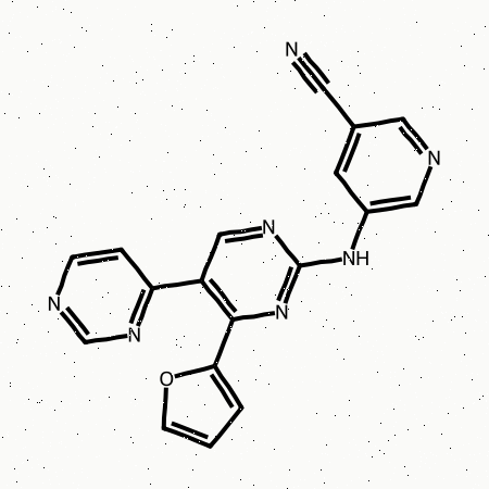 N#Cc1cncc(Nc2ncc(-c3ccncn3)c(-c3ccco3)n2)c1